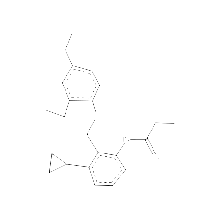 CCC(=O)Nc1cccc(C2CC2)c1COc1ccc(CC)cc1CC